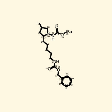 CC1C[C@H](CCCCCNC(=O)OCc2ccccc2)N(NC(=O)OC(C)(C)C)C1